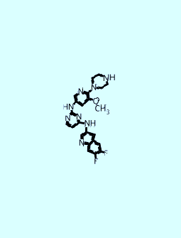 COc1cc(Nc2nccc(Nc3cnc4cc(F)c(F)cc4c3)n2)cnc1N1CCNCC1